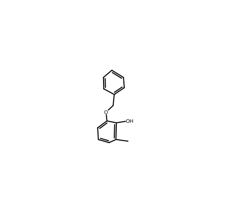 Cc1cccc(OCc2ccccc2)c1O